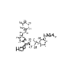 Cl.NCc1cccc(C2CCN(C(=O)c3ccc(CCc4ccccc4)s3)CC2)c1